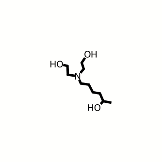 CC(O)CCCCN(CCO)CCO